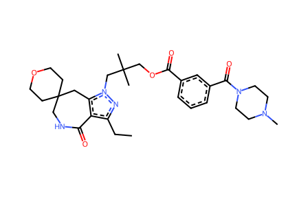 CCc1nn(CC(C)(C)COC(=O)c2cccc(C(=O)N3CCN(C)CC3)c2)c2c1C(=O)NCC1(CCOCC1)C2